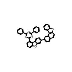 c1ccc(-c2nc(-c3ccccc3)nc(-c3cccc4oc5cc(-c6ccc7ccc8oc9ccccc9c8c7c6)ccc5c34)n2)cc1